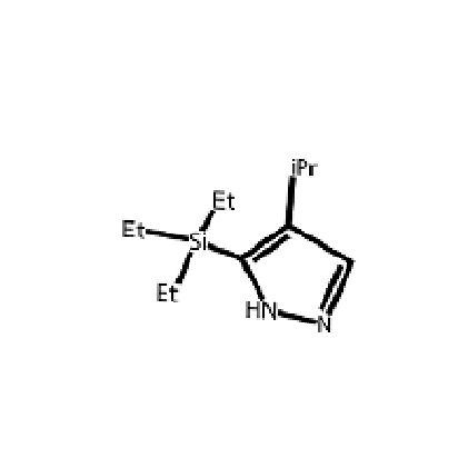 CC[Si](CC)(CC)c1[nH]ncc1C(C)C